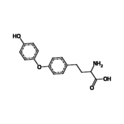 NC(CCc1ccc(Oc2ccc(O)cc2)cc1)C(=O)O